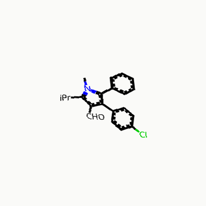 CC(C)c1c(C=O)c(-c2ccc(Cl)cc2)c(-c2ccccc2)n1C